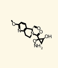 COc1ccc2c(n1)CCN(C(=O)C1(ON)C[C@@H]1O)[C@H]2C=O